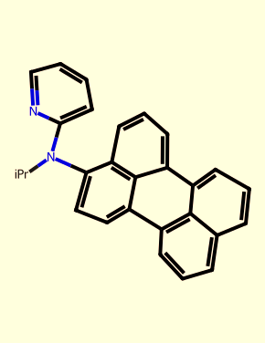 CC(C)N(c1ccccn1)c1ccc2c3cccc4cccc(c5cccc1c52)c43